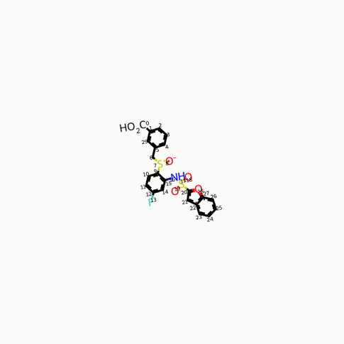 O=C(O)c1cccc(C[S+]([O-])c2ccc(F)cc2NS(=O)(=O)c2cc3ccccc3o2)c1